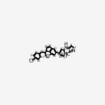 Cn1nccc1Nc1cc(-c2cc3c4c(c2)OCC(Cc2ccc(Cl)cc2)C4C=C3)ccn1